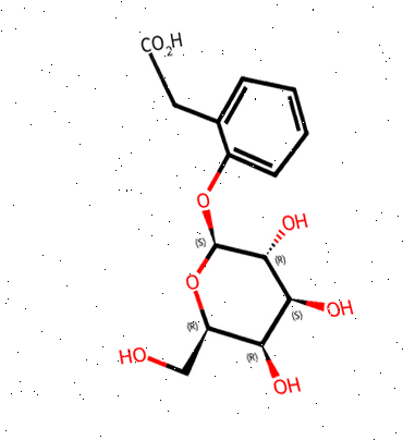 O=C(O)Cc1ccccc1O[C@@H]1O[C@H](CO)[C@H](O)[C@H](O)[C@H]1O